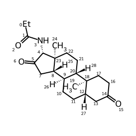 CCC(=O)N[C@H]1C(=O)C[C@H]2[C@@H]3CC[C@H]4CC(=O)CC[C@]4(C)[C@H]3CC[C@]12C